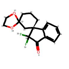 O=C1c2ccccc2[C@]2(CCCC3(C2)OCCO3)C1(F)F